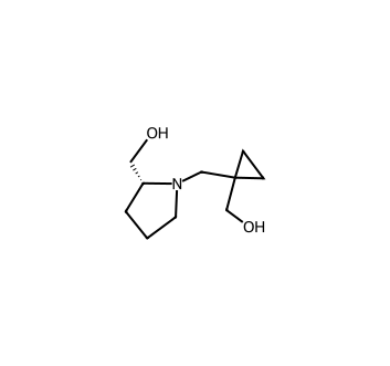 OC[C@H]1CCCN1CC1(CO)CC1